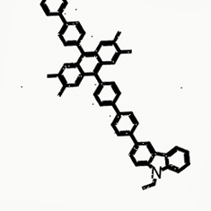 CCn1c2ccccc2c2cc(-c3ccc(-c4ccc(-c5c6cc(C)c(C)cc6c(-c6ccc(-c7ccccc7)cc6)c6cc(C)c(C)cc56)cc4)cc3)ccc21